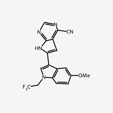 COc1ccc2c(c1)c(-c1cc3c(C#N)ncnc3[nH]1)cn2CC(F)(F)F